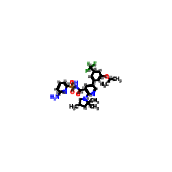 CC1CN(c2ncc(-c3cc(OC(C)C)cc(C(F)(F)F)c3)cc2C(=O)NS(=O)(=O)c2cccc(N)n2)C(C)(C)C1